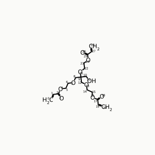 C=CC(=O)OCCOCC(CO)(COCCOC(=O)C=C)OCCOC(=O)C=C